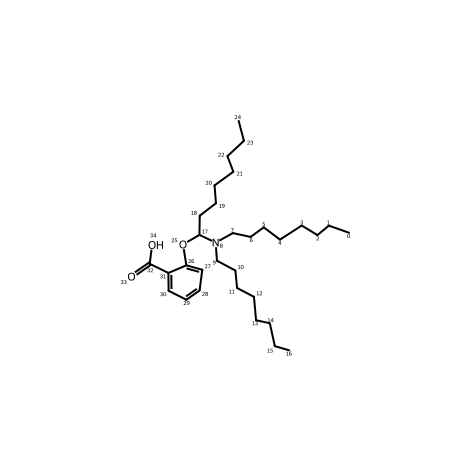 CCCCCCCCN(CCCCCCCC)C(CCCCCCC)Oc1ccccc1C(=O)O